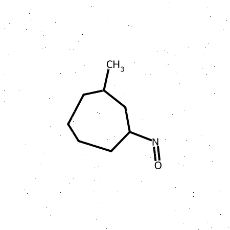 CC1CCCCC(N=O)C1